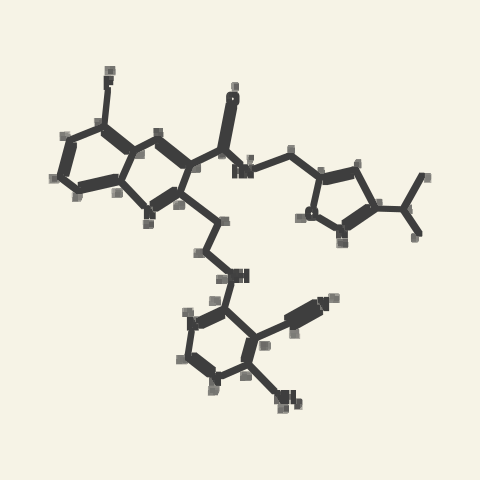 CC(C)c1cc(CNC(=O)c2cc3c(F)cccc3nc2CCNc2ncnc(N)c2C#N)on1